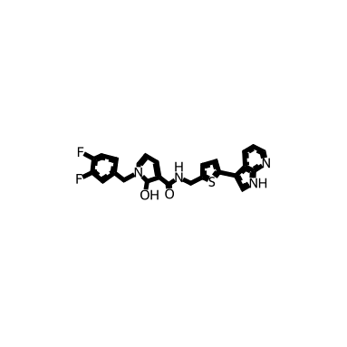 O=C(NCc1ccc(-c2c[nH]c3ncccc23)s1)C1=CC=CN(Cc2ccc(F)c(F)c2)C1O